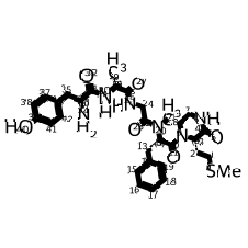 CSCC[C@H]1C(=O)NCCN1C(=O)[C@H](Cc1ccccc1)N(C)C(=O)CNC(=O)[C@@H](C)NC(=O)[C@@H](N)Cc1ccc(O)cc1